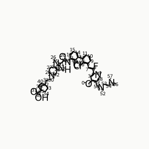 COc1cc(/C(F)=C/c2cccc(-c3cccc(NC(=O)c4nc5c(n4C)CCN(CCC46CCC(C(=O)O)(CC4)C6)C5)c3Cl)c2Cl)ncc1CN(C)CCN(C)C